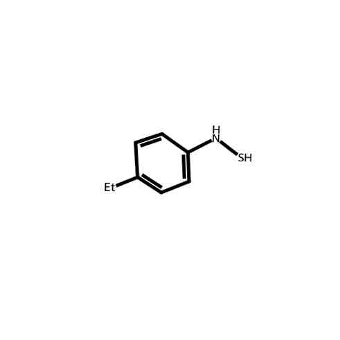 CCc1ccc(NS)cc1